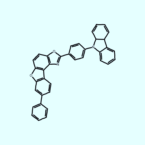 C1=CC2c3ccccc3N(c3ccc(-c4nc5c(ccc6oc7cc(-c8ccccc8)ccc7c65)o4)cc3)C2C=C1